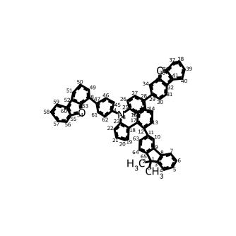 CC1(C)c2ccccc2-c2cc(-c3ccccc3-c3ccccc3N(c3ccc(-c4ccc5c(c4)oc4ccccc45)cc3)c3ccc(-c4cccc5c4oc4ccccc45)cc3)ccc21